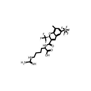 Cc1cc(S(F)(F)(F)(F)F)cc2c1O[C@H](C(F)(F)F)C(C(=O)NC(CCCCNC(=N)N)C(=O)O)=C2